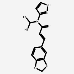 CCC(S)N(C(=O)/C=C/c1ccc2c(c1)OCO2)c1cc[nH]n1